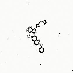 Clc1cc2ccc(Oc3ccccc3)nc2cc1-c1nn(C2CC(CN3CCC3)C2)c2ncncc12